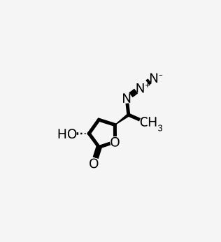 CC(N=[N+]=[N-])[C@@H]1C[C@@H](O)C(=O)O1